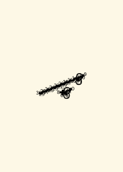 C=COC(=O)C(C)(C)C.C=COC(=O)CCCCCCCCCCCCCCCCC